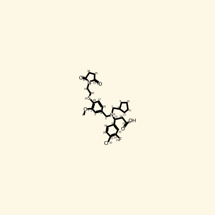 COc1cc(CN(CC2CCCC2)C(CC(=O)O)c2ccc(Cl)c(F)c2)ccc1SCCN1C(=O)CCC1=O